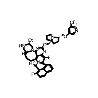 C#Cc1c(F)ccc2cccc(-c3nc4c5c(nc(OC[C@@]67CCCN6[C@H](COc6cnnc(C(F)(F)F)c6)CC7)nc5c3F)N3C[C@@H](CC)NC[C@H]3CCC4)c12